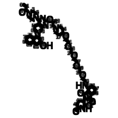 C=CC(=O)N1CCN(c2nc(O[C@H](C)CN3CCC(OCCOCCOCCOCCOCCNc4cccc5c4C(=O)N(C4CCC(=O)NC4=O)C5=O)CC3)nc3c2CCN(c2cc(O)cc4ccccc24)C3)CC1